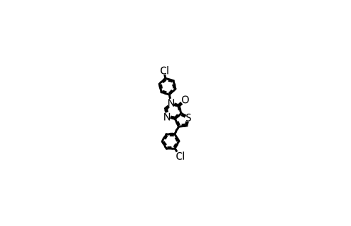 O=c1c2scc(-c3cccc(Cl)c3)c2ncn1-c1ccc(Cl)cc1